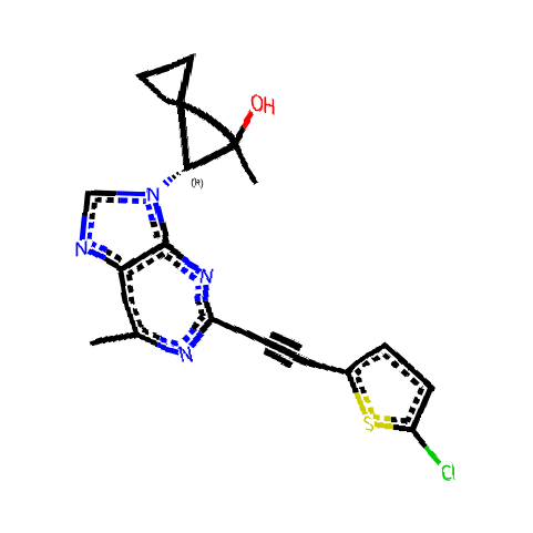 Cc1nc(C#Cc2ccc(Cl)s2)nc2c1ncn2[C@H]1C(C)(O)C12CC2